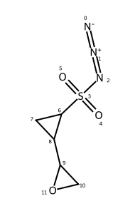 [N-]=[N+]=NS(=O)(=O)C1CC1C1CO1